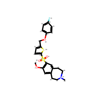 COc1cc2c(cc1S(=O)(=O)c1ccc(COc3ccc(F)cc3)s1)CCN(C)CC2